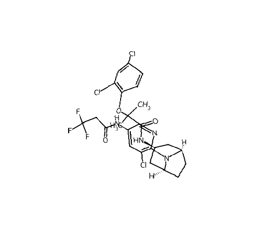 CC(C)(Oc1ccc(Cl)cc1Cl)C(=O)N[C@H]1C[C@H]2CC[C@@H](C1)N2c1ncc(NC(=O)CC(F)(F)F)cc1Cl